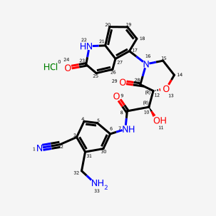 Cl.N#Cc1ccc(NC(=O)[C@H](O)[C@H]2OCCN(c3cccc4[nH]c(=O)ccc34)C2=O)cc1CN